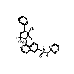 COC1(F)C=C(c2ccccc2)C(C#N)=C(F)C1c1nccc2cc(S(=O)(=O)Nc3ncccn3)ccc12